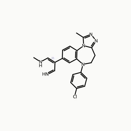 CN/C=C(\C=N)c1ccc2c(c1)N(c1ccc(Cl)cc1)CCc1nnc(C)n1-2